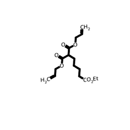 C=CCOC(=O)C(CCCCC(=O)OCC)C(=O)OCC=C